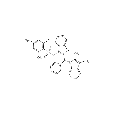 Cc1cc(C)c(S(=O)(=O)Nc2c(C(c3ccccc3)n3c(C)c(C)c4ccccc43)oc3ccccc23)c(C)c1